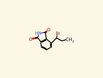 CCC(Br)c1cccc2c1C(=O)NC2=O